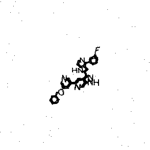 Fc1cccc(-c2nccc3[nH]c(-c4n[nH]c5cnc(-c6cncc(OCc7ccccc7)c6)cc45)cc23)c1